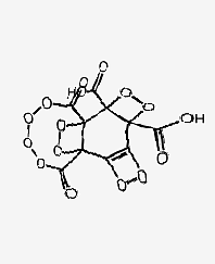 O=C(O)C12OOC1(C(=O)O)C13OOC1(C(=O)OOOOC3=O)c1ooc12